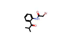 CC(C)C(=O)c1ccccc1NC(=O)CBr